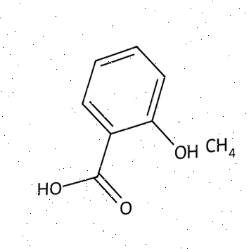 C.O=C(O)c1ccccc1O